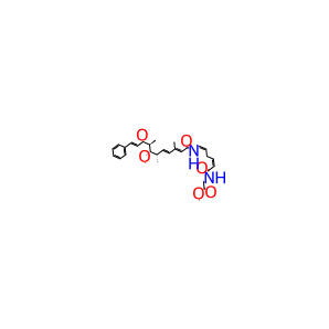 COC(=O)CNC(=O)/C=C\C/C=C\NC(=O)/C=C(C)/C=C/[C@H](C)[C@H](OC)[C@H](C)[C@H](/C=C/c1ccccc1)OC